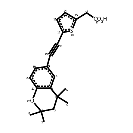 CC1(C)CC(C)(C)c2cc(C#Cc3ccc(CC(=O)O)s3)ccc2O1